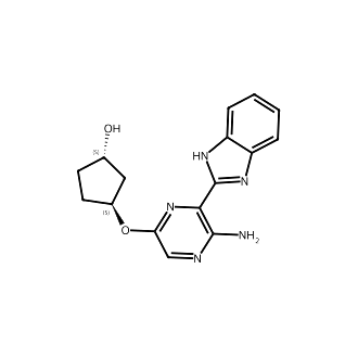 Nc1ncc(O[C@H]2CC[C@H](O)C2)nc1-c1nc2ccccc2[nH]1